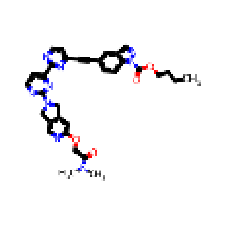 CCCCOC(=O)n1ncc2cc(C#Cc3ccnc(-c4ccnc(N5Cc6cnc(OCC(=O)N(C)C)cc6C5)n4)n3)ccc21